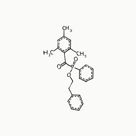 Cc1cc(C)c(C(=O)P(=O)(OCCc2ccccc2)c2ccccc2)c(C)c1